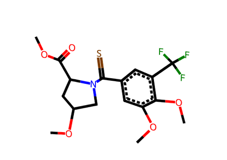 COC(=O)C1CC(OC)CN1C(=S)c1cc(OC)c(OC)c(C(F)(F)F)c1